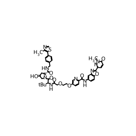 Cc1ncsc1-c1ccc(CNC(=O)[C@H]2C[C@H](O)CN2C(=O)C(NC(=O)COCCOc2ccc(C(=O)Nc3ccc4oc(-c5ccc(=O)n(C)n5)nc4c3)nc2)C(C)(C)C)cc1